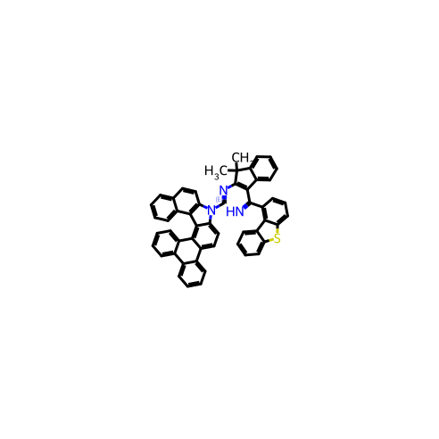 CC1(C)C(/N=C/n2c3ccc4ccccc4c3c3c4c5ccccc5c5ccccc5c4ccc32)=C(C(=N)c2cccc3sc4ccccc4c23)c2ccccc21